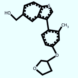 Cc1cc(OC2CCOC2)ccc1-c1csc2ccc(CO)cc12